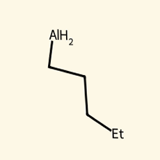 CCCC[CH2][AlH2]